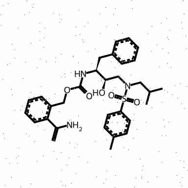 C=C(N)c1ccccc1COC(=O)N[C@@H](Cc1ccccc1)[C@H](O)CN(CC(C)C)S(=O)(=O)c1ccc(C)cc1